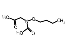 CCCCON(CC(=O)O)C(=O)O